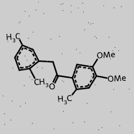 COc1cc(C)c(C(=O)Cc2cc(C)ccc2C)cc1OC